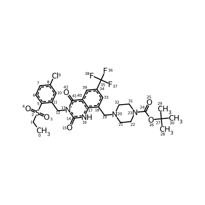 CCS(=O)(=O)c1ccc(Cl)cc1Cn1c(=O)[nH]c2c(CN3CCN(C(=O)OC(C)(C)C)CC3)cc(C(F)(F)F)cc2c1=O